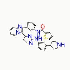 O=C(Nc1cccc(-c2nc3ccccn3c2-c2ccnc(Nc3cccc(C4CCNCC4)c3)n2)c1)c1cccs1